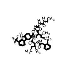 CCNC(=O)Nc1nnc(C(NC(=O)[C@@]2(NC(=O)[C@@H](NC(=O)Cc3ccccc3F)C(C)CC)CCc3[nH]c4c(C(F)(F)F)cccc4c3C2)[C@@H](C)CC)o1